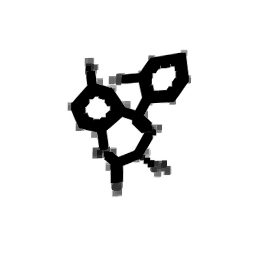 C[C@H]1N=C(c2ccccc2F)c2cc(Br)ccc2NC1=O